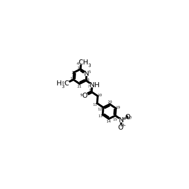 Cc1cc(C)nc(NC(=O)CCc2ccc([N+](=O)[O-])cc2)c1